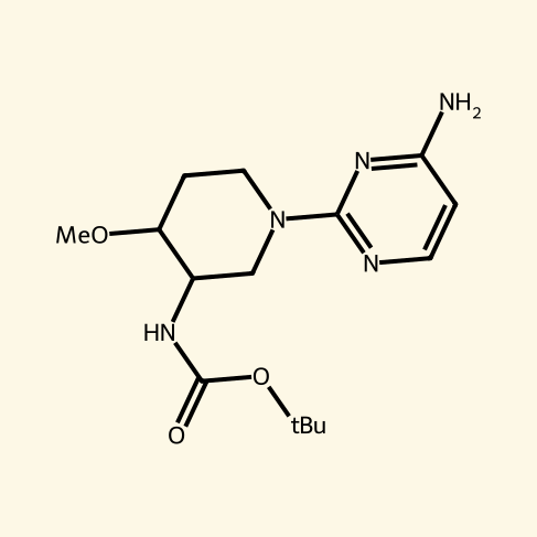 COC1CCN(c2nccc(N)n2)CC1NC(=O)OC(C)(C)C